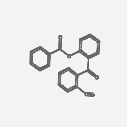 O=[C]c1ccccc1C(=O)c1ccccc1OC(=O)c1ccccc1